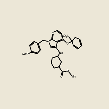 CCOC(=O)C1(Oc2ccnc3c2c(NC2CCCN(C(=O)OC(C)(C)C)C2)nn3Cc2ccc(OC)cc2)C=CC=CC1